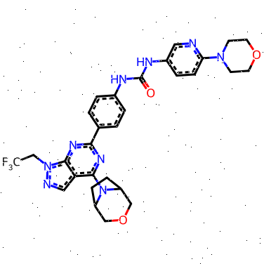 O=C(Nc1ccc(-c2nc(N3C4CCC3COC4)c3cnn(CC(F)(F)F)c3n2)cc1)Nc1ccc(N2CCOCC2)nc1